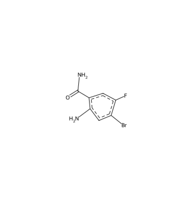 NC(=O)c1cc(F)c(Br)cc1N